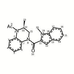 CC(=O)N1c2ccccc2N(C(=O)c2cc3ccccc3n2C)C[C@@H]1C